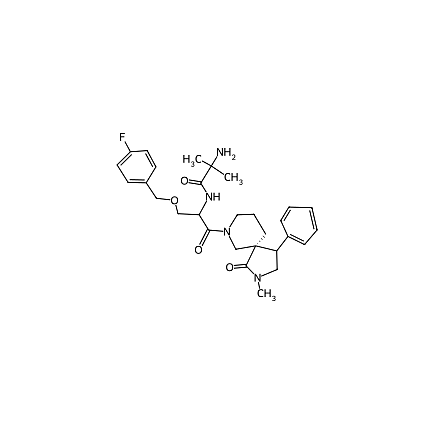 CN1CC(c2ccccc2)[C@@]2(CCCN(C(=O)C(COCc3ccc(F)cc3)NC(=O)C(C)(C)N)C2)C1=O